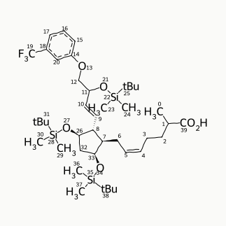 CC(CC/C=C\C[C@@H]1[C@@H](/C=C/C(COc2cccc(C(F)(F)F)c2)O[Si](C)(C)C(C)(C)C)[C@H](O[Si](C)(C)C(C)(C)C)C[C@@H]1O[Si](C)(C)C(C)(C)C)C(=O)O